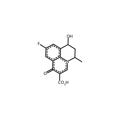 CC1CC(O)c2cc(F)cc3c(=O)c(C(=O)O)cn1c23